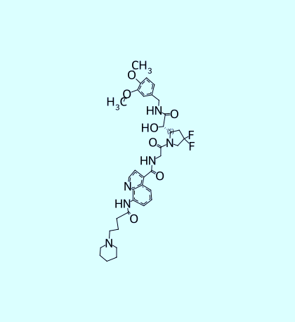 COc1ccc(CNC(=O)C(O)[C@@H]2CC(F)(F)CN2C(=O)CNC(=O)c2ccnc3c(NC(=O)CCCN4CCCCC4)cccc23)cc1OC